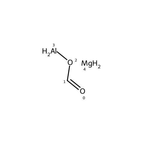 O=C[O][AlH2].[MgH2]